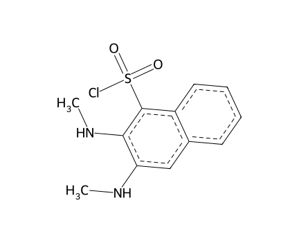 CNc1cc2ccccc2c(S(=O)(=O)Cl)c1NC